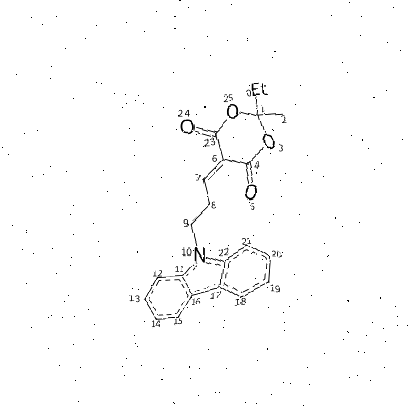 CCC1(C)OC(=O)C(=CCCn2c3ccccc3c3ccccc32)C(=O)O1